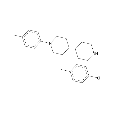 C1CCNCC1.Cc1ccc(Cl)cc1.Cc1ccc(N2CCCCC2)cc1